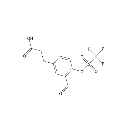 O=Cc1cc(CCC(=O)O)ccc1OS(=O)(=O)C(F)(F)F